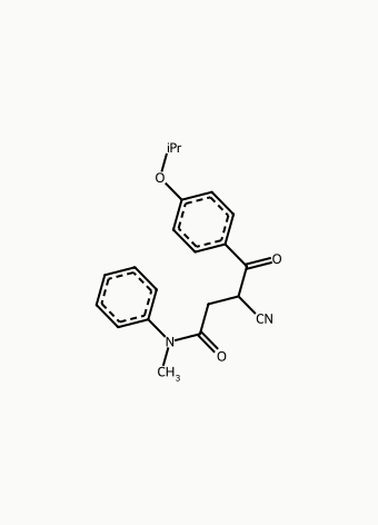 CC(C)Oc1ccc(C(=O)C(C#N)CC(=O)N(C)c2ccccc2)cc1